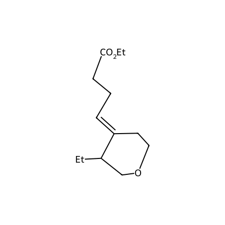 CCOC(=O)CCC=C1CCOCC1CC